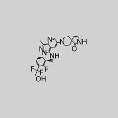 Cc1nnc(N[C@H](C)c2cccc(C(F)(F)CO)c2F)c2cc(N3CCC4(CCNC4=O)CC3)cnc12